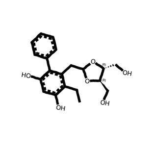 CCc1c(O)cc(O)c(-c2ccccc2)c1CC1O[C@H](CO)[C@@H](CO)O1